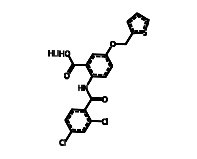 O=C(Nc1ccc(OCc2cccs2)cc1C(=O)O)c1ccc(Cl)cc1Cl.[LiH]